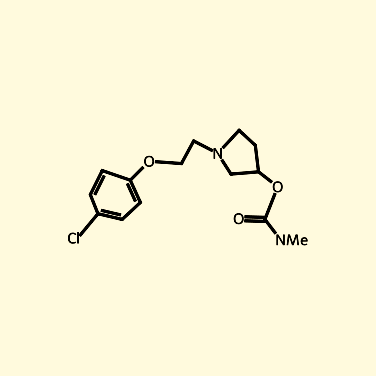 CNC(=O)OC1CCN(CCOc2ccc(Cl)cc2)C1